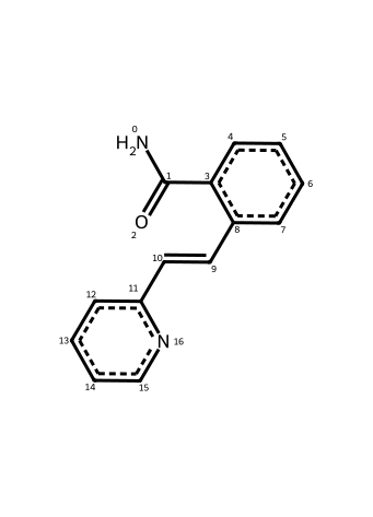 NC(=O)c1ccccc1C=Cc1ccccn1